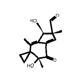 CC1=C2C(=C[C@@](C)(C=O)[C@@H]2O)C(=O)[C@](C)(O)C12CC2